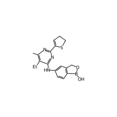 CCc1c(C)nc(C2=CCCS2)nc1Nc1ccc2c(c1)COB2O